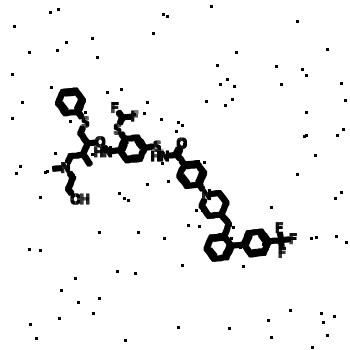 CC(CN(C)CCO)C(CSc1ccccc1)ONc1ccc(SNC(=O)c2ccc(N3CCC(Cc4ccccc4-c4ccc(C(F)(F)F)cc4)CC3)cc2)cc1SC(F)F